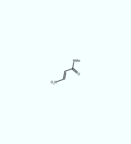 CNC(=O)C=C[N+](=O)[O-]